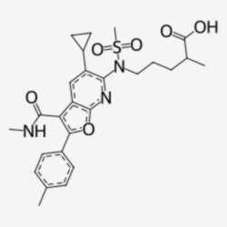 CNC(=O)c1c(-c2ccc(C)cc2)oc2nc(N(CCCC(C)C(=O)O)S(C)(=O)=O)c(C3CC3)cc12